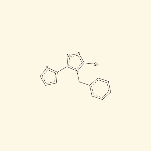 Sc1nnc(-c2cccs2)n1Cc1ccccc1